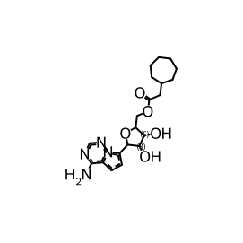 Nc1ncnn2c(C3OC(COC(=O)CC4CCCCCC4)[C@@H](O)[C@H]3O)ccc12